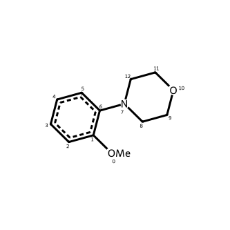 COc1ccc[c]c1N1CCOCC1